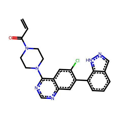 C=CC(=O)N1CCN(c2ncnc3cc(-c4cccc5cn[nH]c45)c(Cl)cc23)CC1